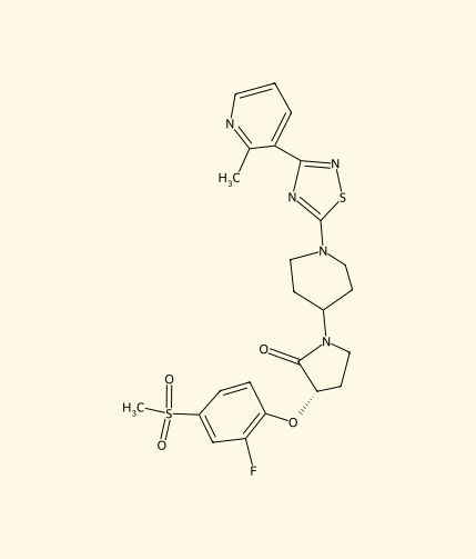 Cc1ncccc1-c1nsc(N2CCC(N3CC[C@H](Oc4ccc(S(C)(=O)=O)cc4F)C3=O)CC2)n1